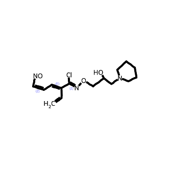 C=CC(=C\C=C/N=O)/C(Cl)=N/OCC(O)CN1CCCCC1